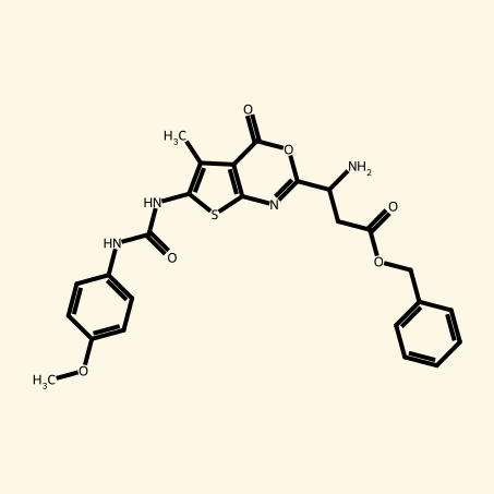 COc1ccc(NC(=O)Nc2sc3nc(C(N)CC(=O)OCc4ccccc4)oc(=O)c3c2C)cc1